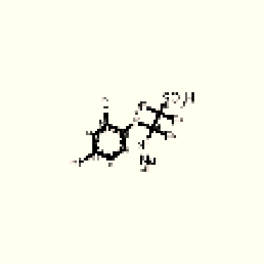 O=S(=O)(O)C(F)(F)C(F)(F)Sc1ccc(F)cc1F.[Na]